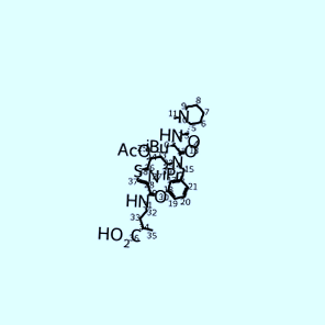 CC[C@H](C)[C@H](NC(=O)[C@H]1CCCCN1C)C(=O)N(Cc1ccccc1)[C@H](C[C@@H](OC(C)=O)c1nc(C(=O)NCC[C@H](C)C(=O)O)cs1)C(C)C